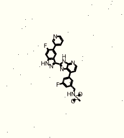 CS(=O)(=O)NCc1cc(F)cc(-c2ccnc3[nH]c(-c4n[nH]c5cc(F)c(-c6cccnc6)cc45)nc23)c1